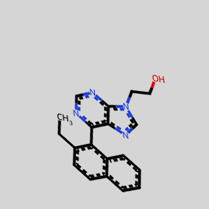 CCc1ccc2ccccc2c1-c1ncnc2c1ncn2CCO